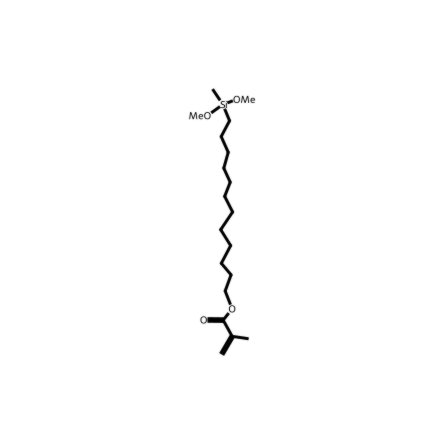 C=C(C)C(=O)OCCCCCCCCCCCC[Si](C)(OC)OC